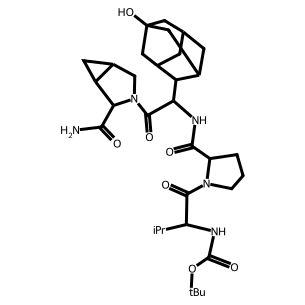 CC(C)C(NC(=O)OC(C)(C)C)C(=O)N1CCCC1C(=O)NC(C(=O)N1CC2CC2C1C(N)=O)C1C2CC3CC1CC(O)(C3)C2